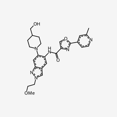 COCCn1cc2cc(NC(=O)c3coc(-c4ccnc(C)c4)n3)c(N3CCC(CO)CC3)cc2n1